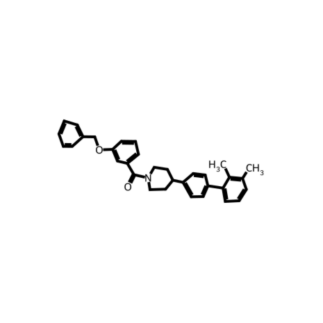 Cc1cccc(-c2ccc(C3CCN(C(=O)c4cccc(OCc5ccccc5)c4)CC3)cc2)c1C